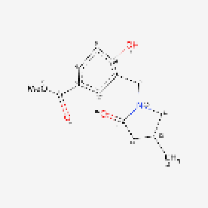 COC(=O)c1ccc(O)c(CN2CC(C)CC2=O)c1